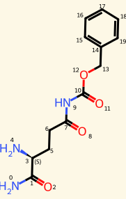 NC(=O)[C@@H](N)CCC(=O)NC(=O)OCc1ccccc1